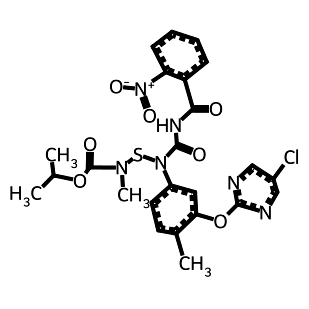 Cc1ccc(N(SN(C)C(=O)OC(C)C)C(=O)NC(=O)c2ccccc2[N+](=O)[O-])cc1Oc1ncc(Cl)cn1